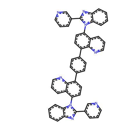 c1cncc(-c2nc3ccccc3n2-c2ccc(-c3ccc(-c4ccc(-n5c(-c6cccnc6)nc6ccccc65)c5cccnc45)cc3)c3ncccc23)c1